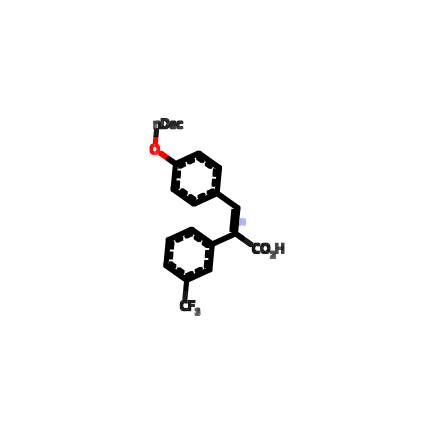 CCCCCCCCCCOc1ccc(/C=C(/C(=O)O)c2cccc(C(F)(F)F)c2)cc1